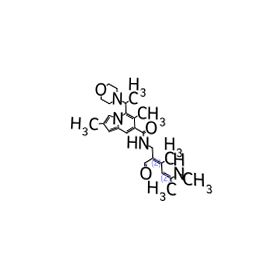 CN/C(C)=C\C(C)=C(/C=O)CNC(=O)c1cc2cc(C)cn2c(C(C)N2CCOCC2)c1C